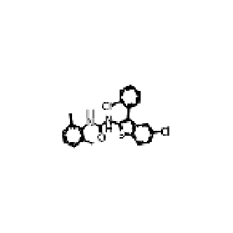 Cc1cccc(C)c1NC(=O)Nc1sc2ccc(Cl)cc2c1-c1ccccc1Cl